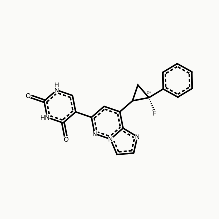 O=c1[nH]cc(-c2cc(C3C[C@@]3(F)c3ccccc3)c3nccn3n2)c(=O)[nH]1